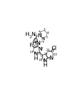 NC(=O)N1CCCC[C@@H]1CNC1=C(F)CNC(c2c[nH]c3ncc(Cl)cc23)=N1